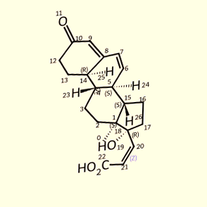 C[C@]12CC[C@H]3[C@@H](C=CC4=CC(=O)CC[C@@H]43)[C@@H]1CC[C@@]2(O)/C=C\C(=O)O